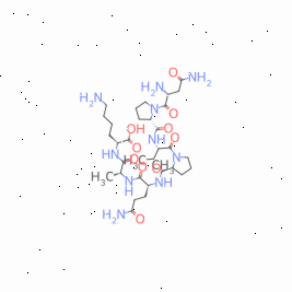 CC(C)[C@H](NC(=O)[C@@H]1CCCN1C(=O)[C@@H](N)CC(N)=O)C(=O)N1CCC[C@H]1C(=O)N[C@@H](CCC(N)=O)C(=O)N[C@@H](C)C(=O)N[C@@H](CCCCN)C(=O)O